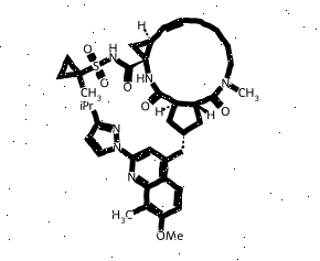 COc1ccc2c(C[C@@H]3C[C@H]4C(=O)N[C@]5(C(=O)NS(=O)(=O)C6(C)CC6)C[C@H]5/C=C\CCCCN(C)C(=O)[C@@H]4C3)cc(-n3ccc(C(C)C)n3)nc2c1C